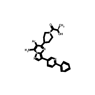 CC(=O)c1c(C2CCN(C(=O)[C@@H](C)O)CC2)nc2c(-c3ccc(-c4ccccc4)nc3)cnn2c1N